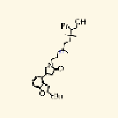 C/C(=C\CCN1CC(c2cccc3oc(C(C)(C)C)cc23)CC1=O)CCC(C)(C)C(CO)C(C)C